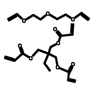 C=CC(=O)OCC(CC)(COC(=O)C=C)COC(=O)C=C.C=COCCOCCOC=C